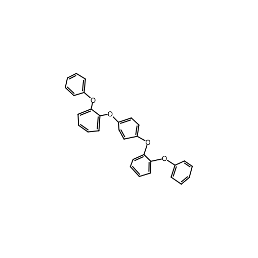 c1ccc(Oc2ccccc2Oc2ccc(Oc3ccccc3Oc3ccccc3)cc2)cc1